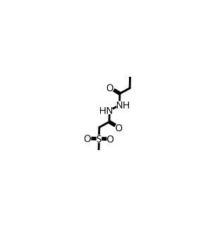 CCC(=O)NNC(=O)CS(C)(=O)=O